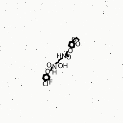 O=C(COc1ccc2c(c1)OCCO2)NCC[C@H](O)CNC(=O)COc1ccc(Cl)c(F)c1